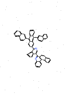 c1ccc2cc(-c3c4ccccc4c(-c4ccc5ccccc5c4)c4cc(-c5ncc(-c6nc7ccccc7c7c6ccc6ccccc67)c6ccccc56)ccc34)ccc2c1